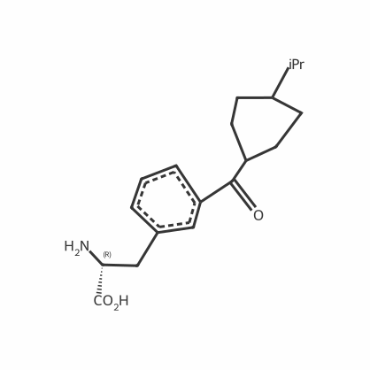 CC(C)C1CCC(C(=O)c2cccc(C[C@@H](N)C(=O)O)c2)CC1